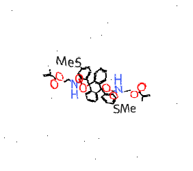 C=C(C)C(=O)OCCNC(=O)OC1(c2ccc(SC)cc2)c2ccccc2C(OC(=O)NCCOC(=O)C(=C)C)(c2ccc(SC)cc2)c2ccccc21